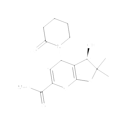 COC(=O)C1=C[C@H](N2CCCCC2=O)C2=C(O1)SC(C)(C)[C@@H]2O